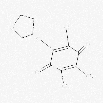 C1CCOC1.N#CC1=C(C#N)C(=O)C(Cl)=C(Cl)C1=O